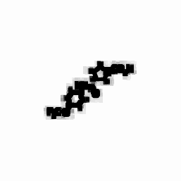 O=C(Nc1ccc(OC(F)(F)F)cc1)[C@@H]1CCN(C(=O)O)C1